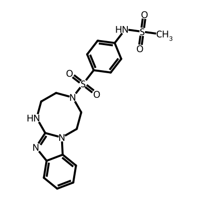 CS(=O)(=O)Nc1ccc(S(=O)(=O)N2CCNc3nc4ccccc4n3CC2)cc1